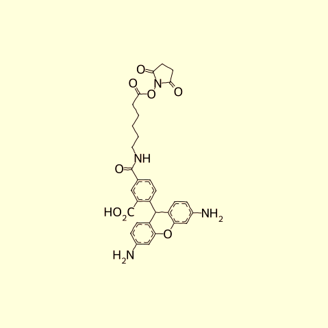 Nc1ccc2c(c1)Oc1cc(N)ccc1C2c1ccc(C(=O)NCCCCCC(=O)ON2C(=O)CCC2=O)cc1C(=O)O